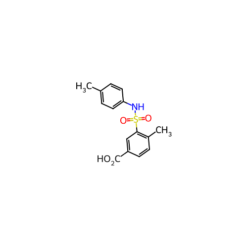 Cc1ccc(NS(=O)(=O)c2cc(C(=O)O)ccc2C)cc1